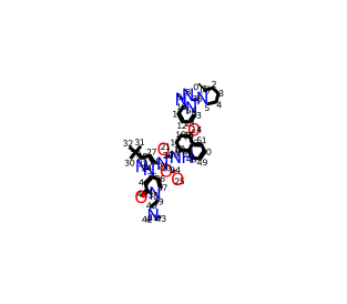 C[C@H]1CCCCN1c1nnc2ccc(O[C@@H]3CC[C@H](NC(=O)N(OC=O)c4cc(C(C)(C)C)nn4-c4ccn(CCN(C)C)c(=O)c4)c4ccccc43)cn12